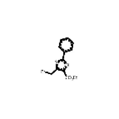 CCOC(=O)c1nc(-c2ccccc2)sc1CBr